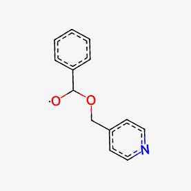 [O]C(OCc1ccncc1)c1ccccc1